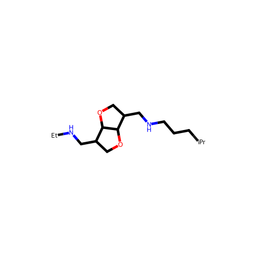 CCNCC1COC2C(CNCCCC(C)C)COC12